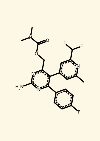 Cc1cc(-c2c(COC(=O)N(C)C)nc(N)nc2-c2ccc(F)cc2)cc(C(F)F)n1